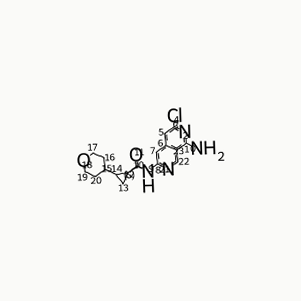 Nc1nc(Cl)cc2cc(NC(=O)[C@H]3CC3C3CCOCC3)ncc12